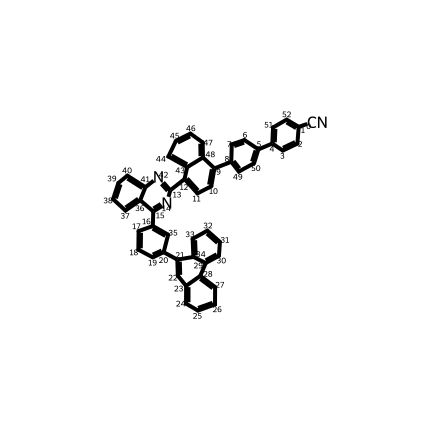 N#Cc1ccc(-c2ccc(-c3ccc(-c4nc(-c5cccc(-c6cc7ccccc7c7ccccc67)c5)c5ccccc5n4)c4ccccc34)cc2)cc1